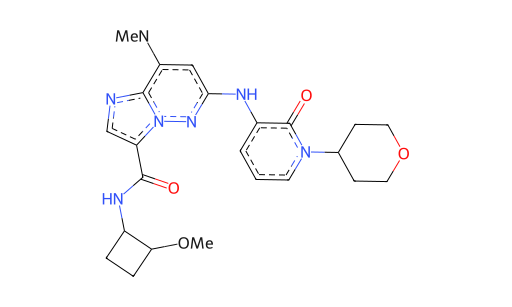 CNc1cc(Nc2cccn(C3CCOCC3)c2=O)nn2c(C(=O)NC3CCC3OC)cnc12